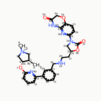 C[C@@H]1CN(C)C[C@H]1Oc1cccc(-c2cccc(CNCC[C@H]3CN(c4ccc5c(n4)NC(=O)CO5)C(=O)O3)c2)n1